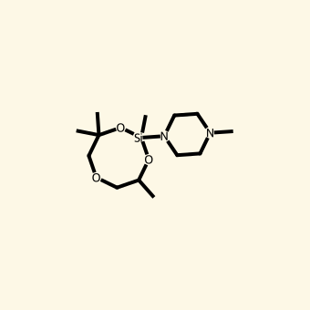 CC1COCC(C)(C)O[Si](C)(N2CCN(C)CC2)O1